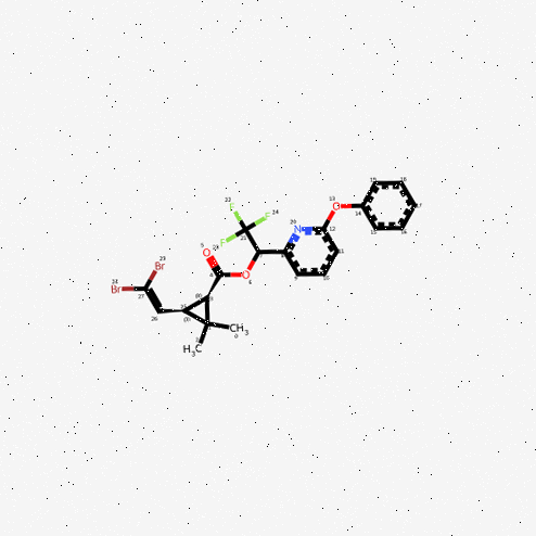 CC1(C)[C@H](C(=O)OC(c2cccc(Oc3ccccc3)n2)C(F)(F)F)[C@@H]1C=C(Br)Br